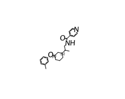 Cc1cccc(O[C@@H]2CCC[C@H](C(C)CNC(=O)c3ccncc3)C2)c1